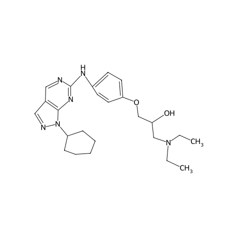 CCN(CC)CC(O)COc1ccc(Nc2ncc3cnn(C4CCCCC4)c3n2)cc1